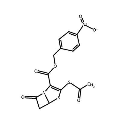 CC(=O)SC1=C(C(=O)OCc2ccc([N+](=O)[O-])cc2)N2C(=O)CC2S1